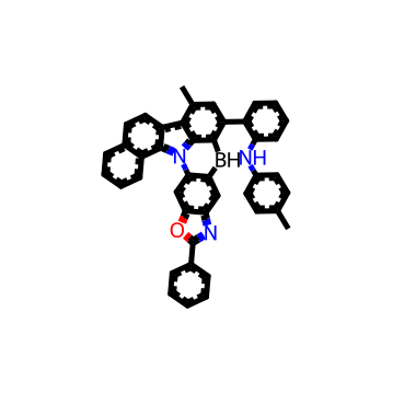 Cc1ccc(Nc2ccccc2-c2cc(C)c3c4ccc5ccccc5c4n4c3c2Bc2cc3nc(-c5ccccc5)oc3cc2-4)cc1